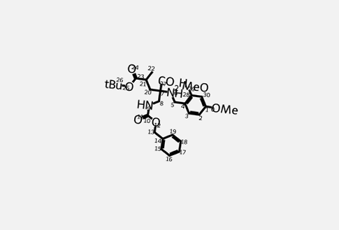 COc1ccc(CNC(CNC(=O)OCc2ccccc2)(CC(C)C(=O)OC(C)(C)C)C(=O)O)c(OC)c1